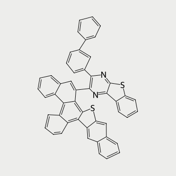 c1ccc(-c2cccc(-c3nc4sc5ccccc5c4nc3-c3cc4ccccc4c4c5ccccc5c5c6cc7ccccc7cc6sc5c34)c2)cc1